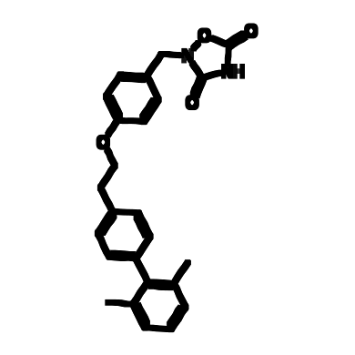 Cc1cccc(C)c1-c1ccc(CCOc2ccc(Cn3oc(=O)[nH]c3=O)cc2)cc1